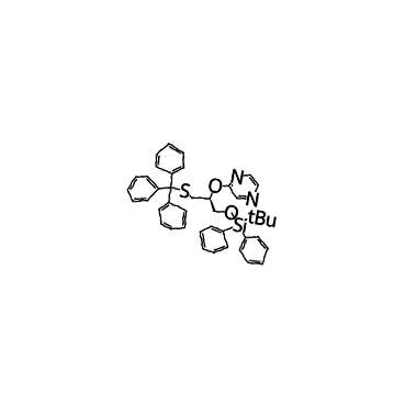 CC(C)(C)[Si](OC[C@@H](CSC(c1ccccc1)(c1ccccc1)c1ccccc1)Oc1cnccn1)(c1ccccc1)c1ccccc1